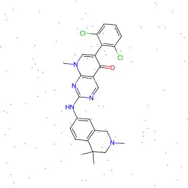 CN1Cc2cc(Nc3ncc4c(=O)c(-c5c(Cl)cccc5Cl)cn(C)c4n3)ccc2C(C)(C)C1